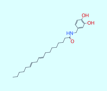 CCCCCC=CCC=CCCCCCCCC(=O)NCc1ccc(O)c(O)c1